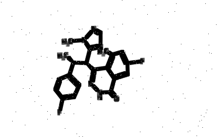 Cc1cc(F)cc2c(=O)[nH]nc([C@H](c3ncnn3C)[C@H](C)c3ccc(F)cc3)c12